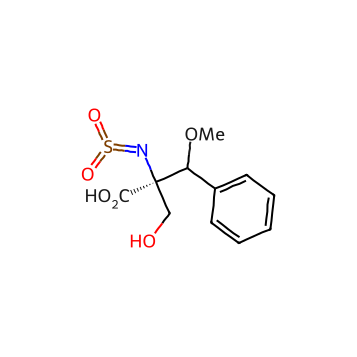 COC(c1ccccc1)[C@@](CO)(N=S(=O)=O)C(=O)O